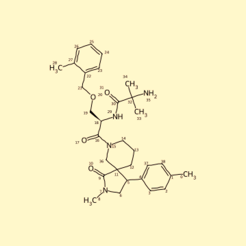 Cc1ccc(C2CN(C)C(=O)C23CCCN(C(=O)[C@@H](COCc2ccccc2C)NC(=O)C(C)(C)N)C3)cc1